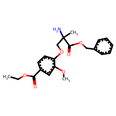 CCOC(=O)c1ccc(OCC(C)(N)C(=O)OCc2ccccc2)c(OC)c1